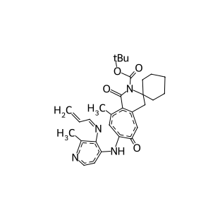 C=C/C=N\c1c(Nc2cc(C)c3c(cc2=O)CC2(CCCCC2)N(C(=O)OC(C)(C)C)C3=O)ccnc1C